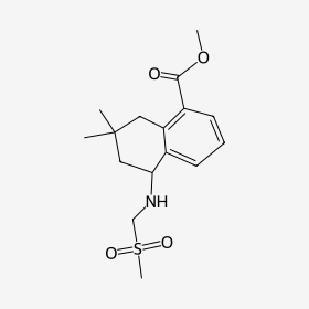 COC(=O)c1cccc2c1CC(C)(C)CC2NCS(C)(=O)=O